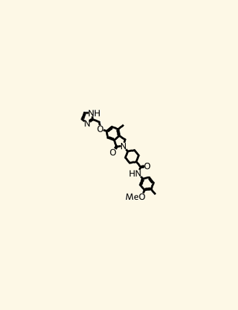 COc1cc(NC(=O)C2CCC(N3Cc4c(C)cc(OCc5ncc[nH]5)cc4C3=O)CC2)ccc1C